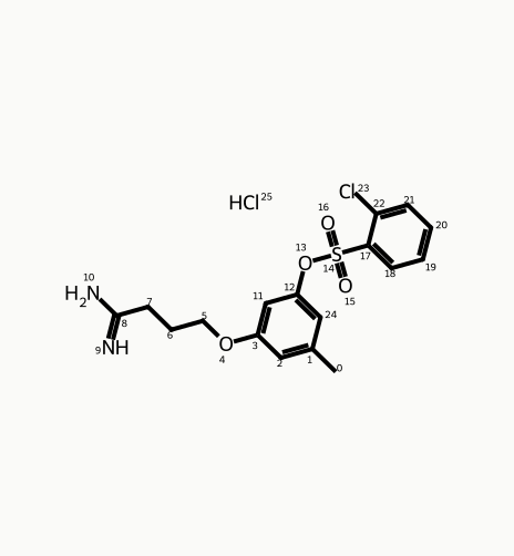 Cc1cc(OCCCC(=N)N)cc(OS(=O)(=O)c2ccccc2Cl)c1.Cl